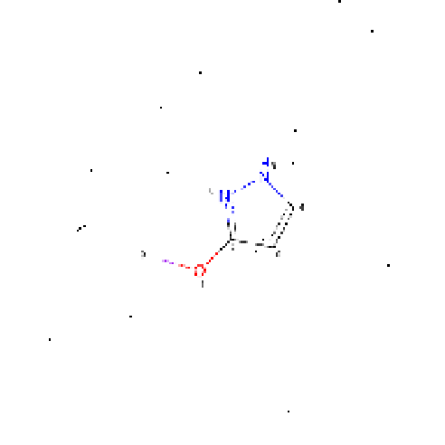 IOc1cc[nH]n1